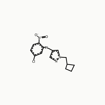 O=[N+]([O-])c1ccc(Cl)cc1Nc1cnn(CC2CCC2)c1